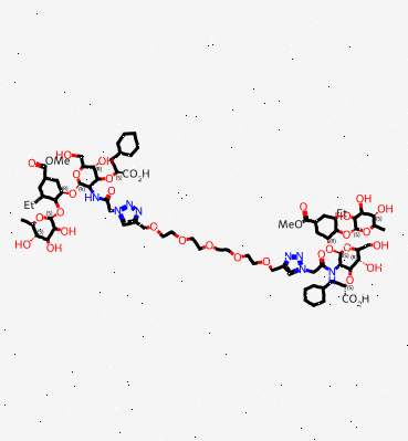 CCC1CC(C(=O)OC)C[C@@H](O[C@H]2OC(CO)[C@H](O)C(O[C@@H](CC3CCCCC3)C(=O)O)C2NC(=O)Cn2cc(COCCOCCOCCOCCOCc3cn(CC(=O)NC4C(O[C@@H](CC5CCCCC5)C(=O)O)[C@@H](O)C(CO)O[C@H]4O[C@@H]4CC(C(=O)OC)CC(CC)C4O[C@@H]4OC(C)[C@@H](O)C(O)C4O)nn3)nn2)C1O[C@@H]1OC(C)[C@@H](O)C(O)C1O